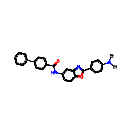 CCN(CC)c1ccc(-c2nc3cc(NC(=O)c4ccc(-c5ccccc5)cc4)ccc3o2)cc1